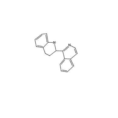 c1ccc2c(c1)CCC(c1nccc3ccccc13)[N]2